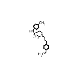 C=Cc1ccc(CCCN2CCC3(CC2)C(=C)Nc2ccc(C)cc23)cc1